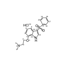 CN(C)CCOc1cccc2c(S(=O)(=O)c3ccccc3)c[nH]c12.Cl